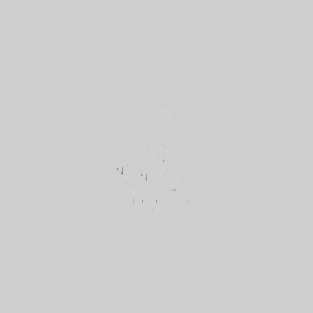 O=C(O)c1cc(-n2c(-c3cnccn3)cc3c2CCc2ccccc2-3)ccc1O